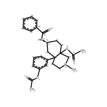 CC(=O)Oc1cccc(C23CCN(C)CC2(OC(C)=O)CC[C@H](NC(=O)c2ccccc2)C3)c1